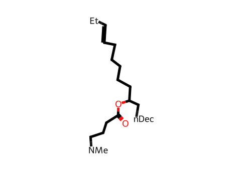 CC/C=C/CCCCCC(CCCCCCCCCCC)OC(=O)CCCNC